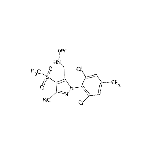 [CH2][CH]CNCc1c(S(=O)(=O)C(F)(F)F)c(C#N)nn1-c1c(Cl)cc(C(F)(F)F)cc1Cl